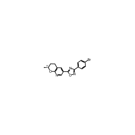 C[C@H]1CCc2cc(-c3nc(-c4ccc(Br)cc4)no3)cnc2O1